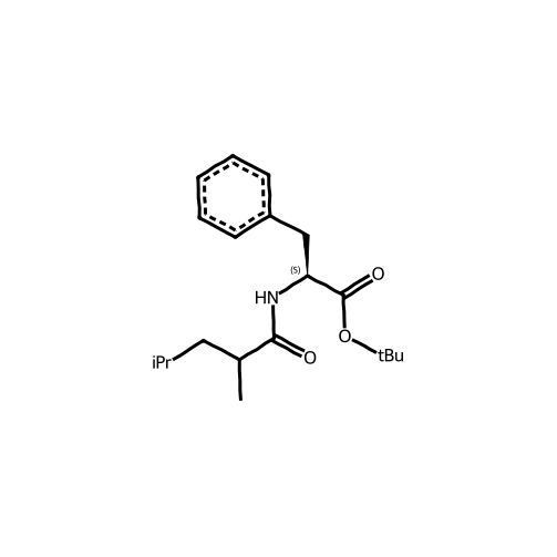 CC(C)CC(C)C(=O)N[C@@H](Cc1ccccc1)C(=O)OC(C)(C)C